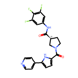 O=C(Nc1cc(F)c(F)c(F)c1)[C@H]1CCN(C(=O)c2ccc(-c3ccncc3)[nH]2)C1